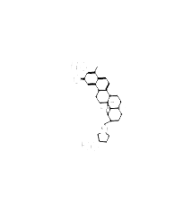 CC1=C(O)C(=O)C=C2C1=CC=C1[C@@]2(C)CC[C@@]2(C)[C@@H]3C[C@](C)(CN4CCC(O)C4)CC[C@]3(C)CC[C@]12C